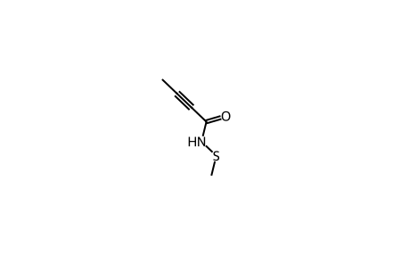 CC#CC(=O)NSC